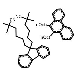 CC(C)(C#N)CCCCC1(CCCCC(C)(C)C#N)c2ccccc2-c2ccccc21.CCCCCCCCc1c(CCCCCCCC)c2ccccc2c2ccccc12